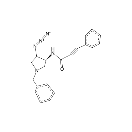 [N-]=[N+]=NC1CN(Cc2ccccc2)C[C@@H]1NC(=O)C#Cc1ccccc1